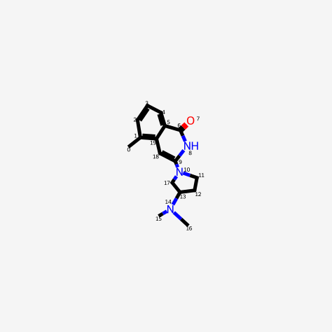 Cc1cccc2c(=O)[nH]c(N3CCC(N(C)C)C3)cc12